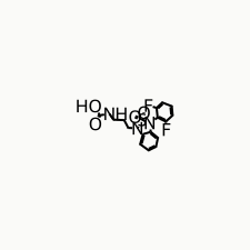 O=C(O)NCCCN1c2ccccc2N(c2c(F)cccc2F)S1(=O)=O